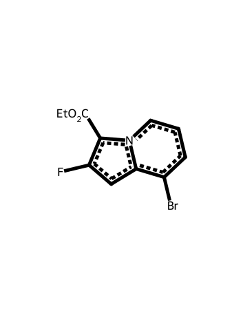 CCOC(=O)c1c(F)cc2c(Br)cccn12